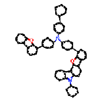 c1ccc(-c2ccc(N(c3ccc(-c4cccc5c4oc4ccccc45)cc3)c3ccc(-c4cccc5c4oc4c5ccc5c4c4ccccc4n5-c4ccccc4)cc3)cc2)cc1